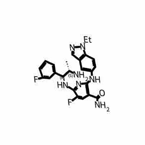 CCn1ncc2cc(Nc3nc(N[C@H](c4cccc(F)c4)[C@H](C)N)c(F)cc3C(N)=O)ccc21